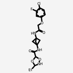 CCC1NOC(C(=O)NC23CC(NC(=O)COc4ccc(Cl)c(F)c4)(C2)C3)O1